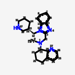 CCCN(Cc1nc2ccccc2n1C[C@H]1CCCNC1)[C@H]1CCCc2cccnc21